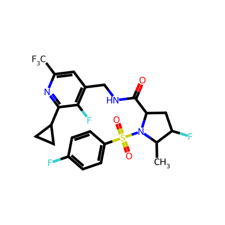 CC1C(F)CC(C(=O)NCc2cc(C(F)(F)F)nc(C3CC3)c2F)N1S(=O)(=O)c1ccc(F)cc1